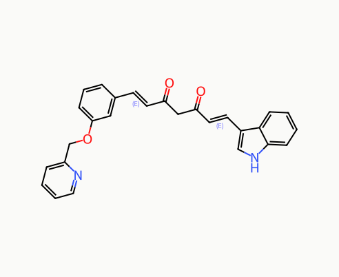 O=C(/C=C/c1cccc(OCc2ccccn2)c1)CC(=O)/C=C/c1c[nH]c2ccccc12